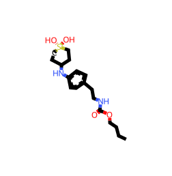 CCCCOC(=O)NCCc1ccc(NC2CCS(O)(O)CC2)cc1